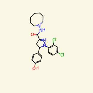 O=C(NN1CCCCCCC1)C1=NN(c2ccc(Cl)cc2Cl)C(c2ccc(O)cc2)C1